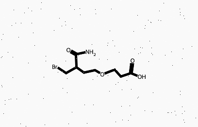 NC(=O)C(CBr)CCOCCC(=O)O